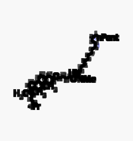 CCCCC/C=C\C/C=C\CCCCCCCCNC(NC)OCCCCOC1CC[C@@]2(C)C(=CCC3C4CCC([C@H](C)CCCC(C)C)C4(C)CCC32)C1